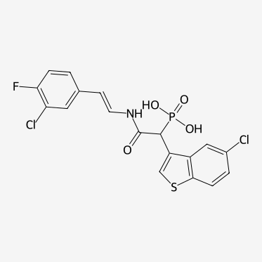 O=C(NC=Cc1ccc(F)c(Cl)c1)C(c1csc2ccc(Cl)cc12)P(=O)(O)O